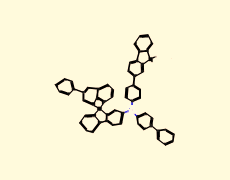 CC1(C)c2ccccc2-c2ccc(-c3ccc(N(c4ccc(-c5ccccc5)cc4)c4ccc5c(c4)C4(c6ccccc6-5)c5cccc6cc(-c7ccccc7)cc4c56)cc3)cc21